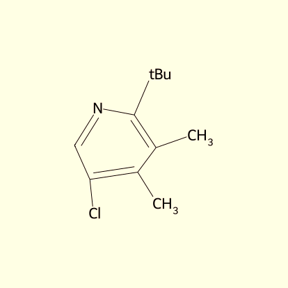 Cc1c(Cl)cnc(C(C)(C)C)c1C